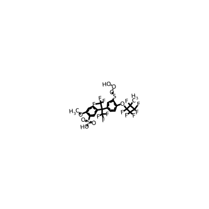 COc1ccc(C(c2ccc(OC3(F)C(C)(F)C(F)(F)C3(F)F)c(SOOO)c2)(C(F)(F)F)C(F)(F)F)cc1S(=O)(=O)O